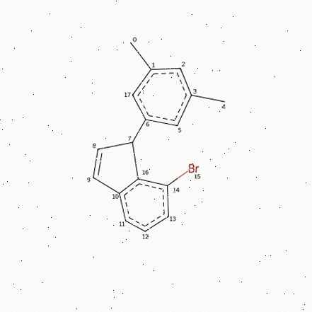 Cc1cc(C)cc(C2C=Cc3cccc(Br)c32)c1